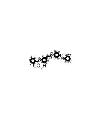 O=C(O)c1ccccc1COc1cccc(CCOc2ccc(OCc3ccccc3)cc2)c1